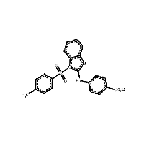 CCOC(=O)c1ccc(Nc2nc3ccccc3n2S(=O)(=O)c2ccc(C)cc2)cc1